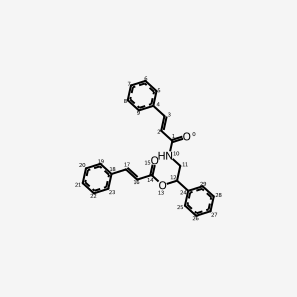 O=C(C=Cc1ccccc1)NCC(OC(=O)C=Cc1ccccc1)c1ccccc1